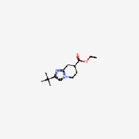 CCOC(=O)C1CCn2cc(C(C)(C)C)nc2C1